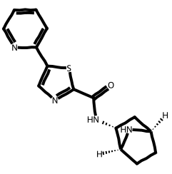 O=C(N[C@@H]1C[C@H]2CC[C@@H]1N2)c1ncc(-c2ccccn2)s1